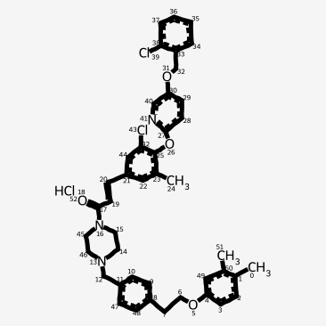 Cc1ccc(OCCc2ccc(CN3CCN(C(=O)/C=C/c4cc(C)c(Oc5ccc(OCc6ccccc6Cl)cn5)c(Cl)c4)CC3)cc2)cc1C.Cl